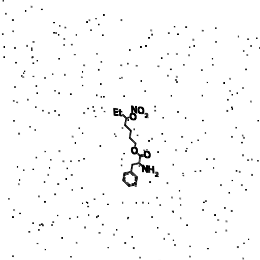 CCC(CCCCOC(=O)C(N)Cc1ccccc1)O[N+](=O)[O-]